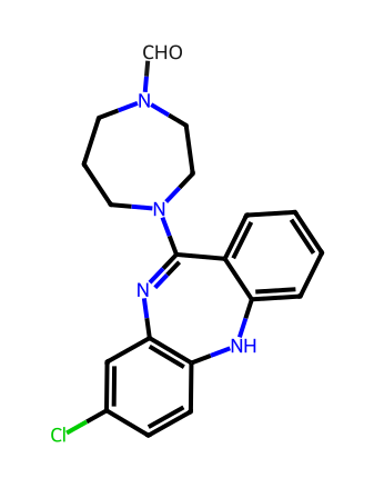 O=CN1CCCN(C2=Nc3cc(Cl)ccc3Nc3ccccc32)CC1